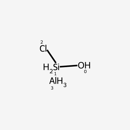 O[SiH2]Cl.[AlH3]